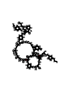 CCCn1cc(CO[C@H](C)CNC(=O)[C@@H]2C3CCN2C(=O)[C@@H]2Cc4cn(c5ccc(F)cc45)CCCCCCN(Cc4ccc(CCNC(=O)[C@]5(C)CCCN5C(=O)[C@H](Cc5ccc(OC)cc5)NCC=O)cc4)C(=O)CCC(=O)N[C@@H](C)C(=O)NCC(=O)N[C@@H](Cc4cccc(c4)CNC(=O)CO3)C(=O)N2)nn1